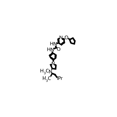 CC(C)CC(C)N(C)C1CCN(c2ccc(NC(=O)Nc3ccc(OC4CCCC4)nc3)cc2)C1